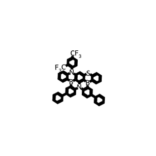 FC(F)(F)c1ccc(N2c3ccccc3B3c4cc(-c5ccccc5)ccc4N4c5ccc(-c6ccccc6)cc5B5c6ccccc6Sc6cc2c3c4c65)c(C(F)(F)F)c1